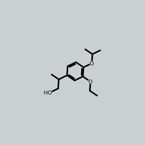 CCOc1cc([C](C)CO)ccc1OC(C)C